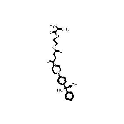 C#CC(O)(c1ccccc1)c1ccc(N2CCN(C(=O)CCC(=O)OCCOC(=O)C(=C)C)CC2)cc1